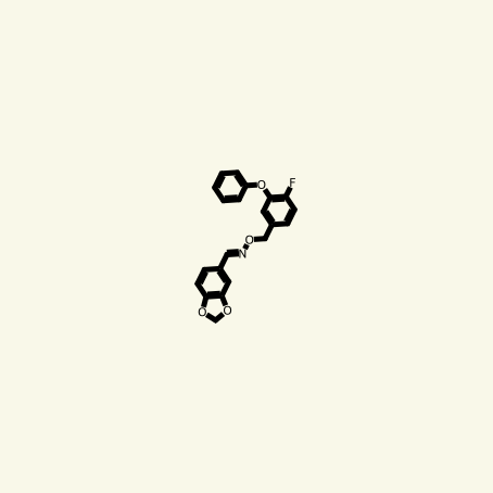 Fc1ccc(CON=Cc2ccc3c(c2)OCO3)cc1Oc1ccccc1